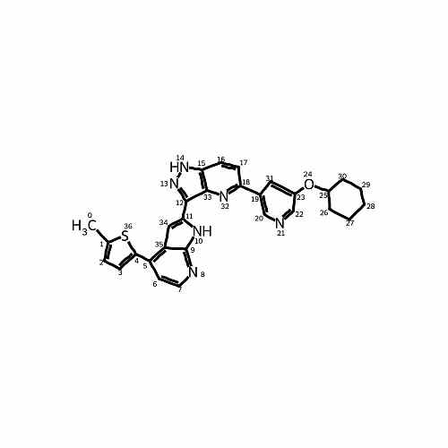 Cc1ccc(-c2ccnc3[nH]c(-c4n[nH]c5ccc(-c6cncc(OC7CCCCC7)c6)nc45)cc23)s1